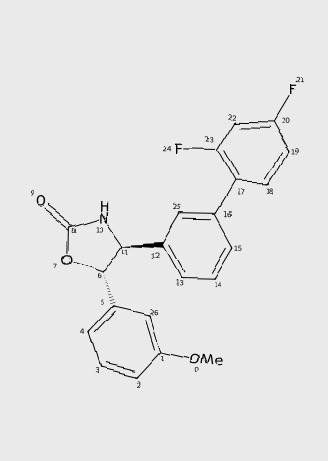 COc1cccc([C@@H]2OC(=O)N[C@H]2c2cccc(-c3ccc(F)cc3F)c2)c1